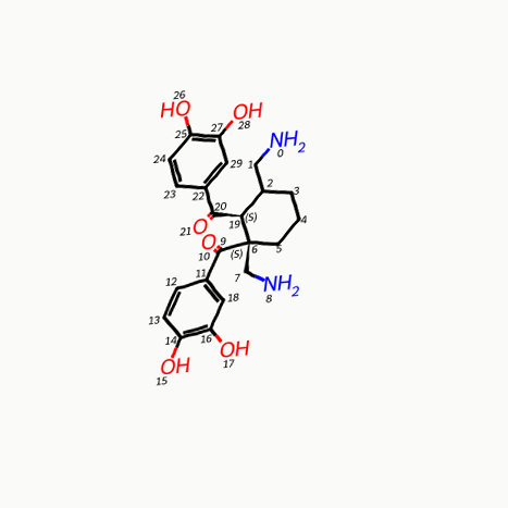 NCC1CCC[C@](CN)(C(=O)c2ccc(O)c(O)c2)[C@H]1C(=O)c1ccc(O)c(O)c1